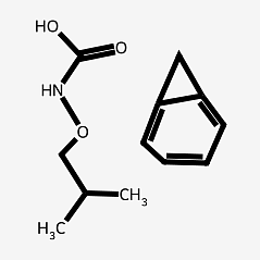 CC(C)CONC(=O)O.c1ccc2c(c1)C2